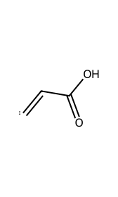 [C]=CC(=O)O